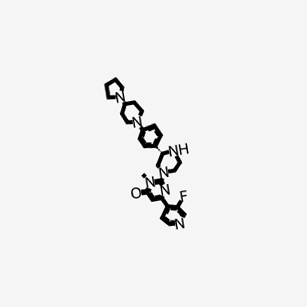 Cn1c(N2CCN[C@@H](c3ccc(N4CCC(N5CCCC5)CC4)cc3)C2)nc(-c2ccncc2F)cc1=O